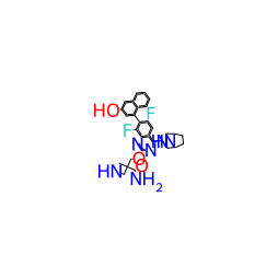 NC(=O)C1(COc2nc(N3CC4CCC(C3)N4)c3cc(F)c(-c4cc(O)cc5ccccc45)c(F)c3n2)CNC1